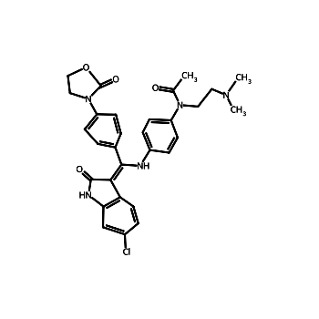 CC(=O)N(CCN(C)C)c1ccc(NC(=C2C(=O)Nc3cc(Cl)ccc32)c2ccc(N3CCOC3=O)cc2)cc1